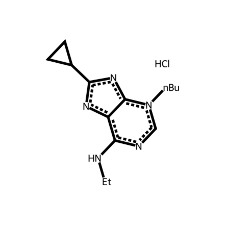 CCCCn1cnc(NCC)c2nc(C3CC3)nc1-2.Cl